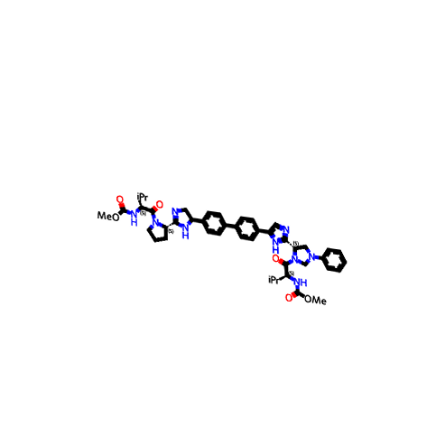 COC(=O)N[C@H](C(=O)N1CCC[C@H]1C1=NCC(c2ccc(-c3ccc(-c4cnc([C@@H]5CN(c6ccccc6)CN5C(=O)[C@@H](NC(=O)OC)C(C)C)[nH]4)cc3)cc2)N1)C(C)C